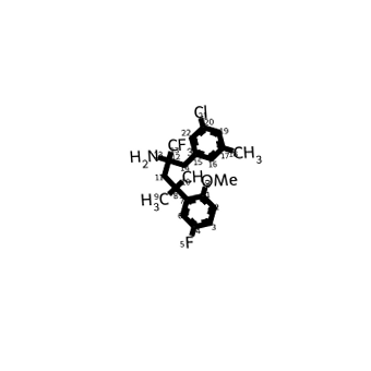 COc1ccc(F)cc1C(C)(C)CC(N)(Cc1cc(C)cc(Cl)c1)C(F)(F)F